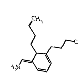 CCCCC1=CC=CC(=CN)C1CCCC